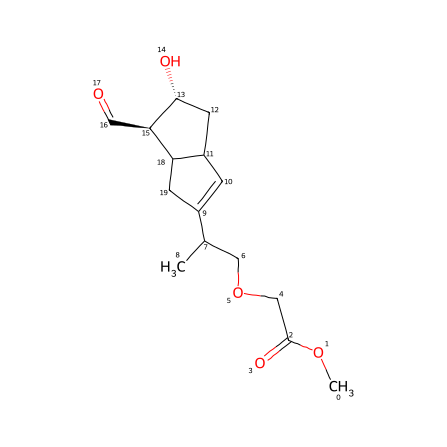 COC(=O)COCC(C)C1=CC2C[C@@H](O)[C@H](C=O)C2C1